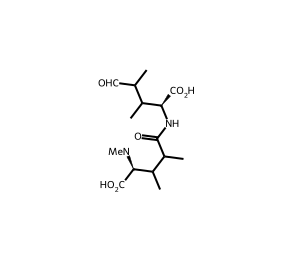 CN[C@H](C(=O)O)C(C)C(C)C(=O)N[C@H](C(=O)O)C(C)C(C)C=O